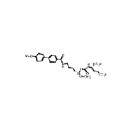 COc1ccc(-c2ccc(C(=O)NCCCC[C@@H](OC=O)OC(=O)N[C@@H](CCC(=O)O)C(=O)O)cc2)cc1